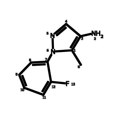 Cc1c(N)cnn1-c1ccccc1F